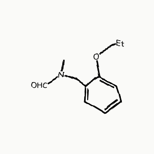 CCOc1ccccc1N(C)C=O